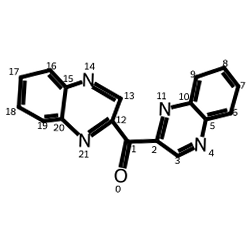 O=C(c1cnc2ccccc2n1)c1cnc2ccccc2n1